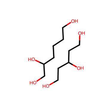 OCCC(O)CCO.OCCCCC(O)CO